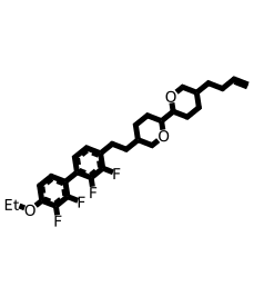 C=CCCC1CCC(C2CCC(CCc3ccc(-c4ccc(OCC)c(F)c4F)c(F)c3F)CO2)OC1